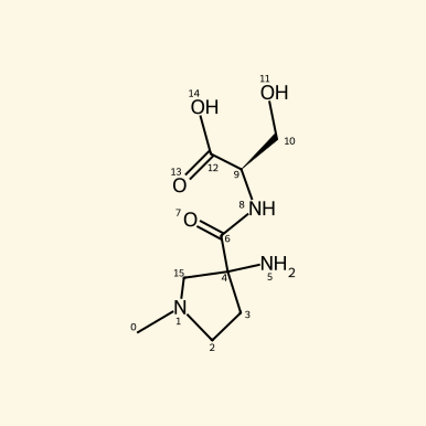 CN1CCC(N)(C(=O)N[C@H](CO)C(=O)O)C1